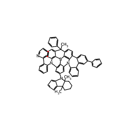 CC1(c2ccccc2)c2cccc3c2B2c4c(cc(N5c6ccccc6C6(C)CCCCC56C)cc4N4c5ccccc5-c5cc(-c6ccccc6)ccc5-c5ccc1c2c54)N3c1ccccc1-c1ccccn1